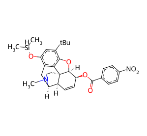 CN1CC[C@]23c4c5c(O[SiH](C)C)cc(C(C)(C)C)c4O[C@H]2[C@@H](OC(=O)c2ccc([N+](=O)[O-])cc2)C=C[C@H]3[C@H]1C5